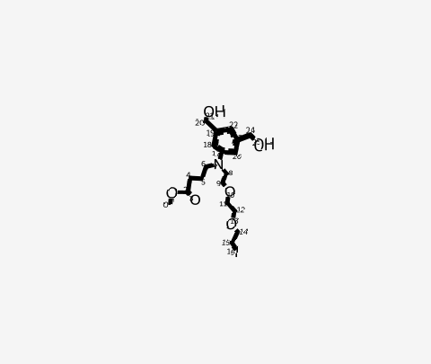 COC(=O)CCCN(CCOCCOCCI)c1cc(CO)cc(CO)c1